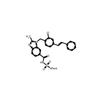 CCCCCS(=O)(=O)NC(=O)c1ccc2nc(C)n(Cc3ccc(/C=C/c4ccccc4)cc3Cl)c2c1